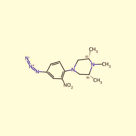 C[C@@H]1CN(c2ccc(N=[N+]=[N-])cc2[N+](=O)[O-])C[C@H](C)N1C